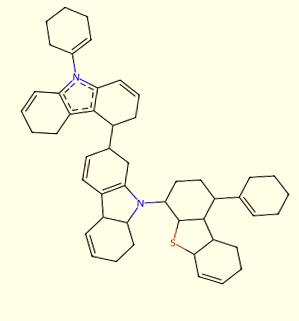 C1=Cc2c(c3c(n2C2=CCCCC2)C=CCC3C2C=CC3=C(C2)N(C2CCC(C4=CCCCC4)C4C5CCC=CC5SC42)C2CCC=CC32)CC1